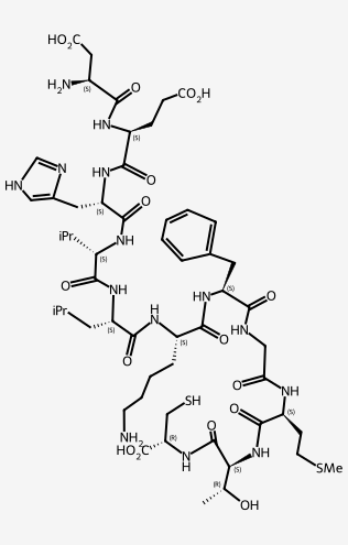 CSCC[C@H](NC(=O)CNC(=O)[C@H](Cc1ccccc1)NC(=O)[C@H](CCCCN)NC(=O)[C@H](CC(C)C)NC(=O)[C@@H](NC(=O)[C@H](Cc1c[nH]cn1)NC(=O)[C@H](CCC(=O)O)NC(=O)[C@@H](N)CC(=O)O)C(C)C)C(=O)N[C@H](C(=O)N[C@@H](CS)C(=O)O)[C@@H](C)O